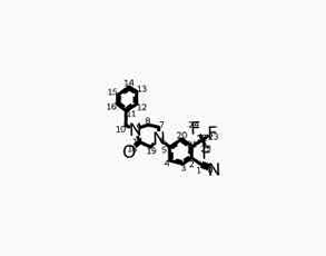 N#Cc1ccc(N2CCN(Cc3ccccc3)C(=O)C2)cc1C(F)(F)F